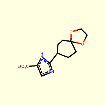 CCOC(=O)c1cnc(C2CCC3(CC2)OCCO3)[nH]1